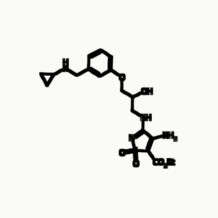 CCOC(=O)C1=C(N)C(NCC(O)COc2cccc(CNC3CC3)c2)=NS1(=O)=O